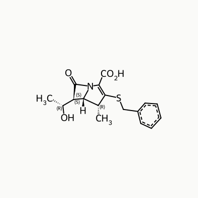 C[C@@H](O)[C@H]1C(=O)N2C(C(=O)O)=C(SCc3ccccc3)[C@H](C)[C@H]12